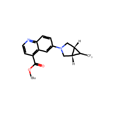 CC(C)(C)OC(=O)c1ccnc2ccc(N3C[C@@H]4C(C(F)(F)F)[C@@H]4C3)cc12